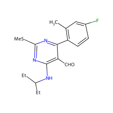 CCC(CC)Nc1nc(SC)nc(-c2ccc(F)cc2C)c1C=O